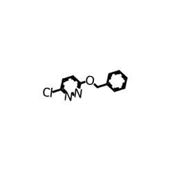 Clc1ccc(OCc2ccccc2)nn1